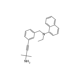 CCN(Cc1cccc(C#CC(C)(C)N)c1)c1cccc2ccccc12